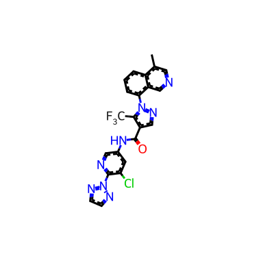 Cc1cncc2c(-n3ncc(C(=O)Nc4cnc(-n5nccn5)c(Cl)c4)c3C(F)(F)F)cccc12